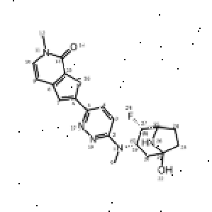 CN(c1ccc(-c2cc3ccn(C)c(=O)c3s2)nn1)[C@H]1CC2(O)CCC(N2)[C@H]1F